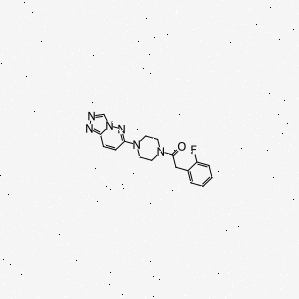 O=C(Cc1ccccc1F)N1CCN(c2ccc3nncn3n2)CC1